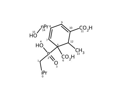 CC(C)CP(=O)(O)C1(C(=O)O)C=CC=C(C(=O)O)C1C.CCCO